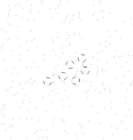 CC1(C)c2ccccc2Oc2cc3c(cc21)-c1cccc2c1-n1c4c(cccc4c4cccc-3c41)-c1ccccc1-2